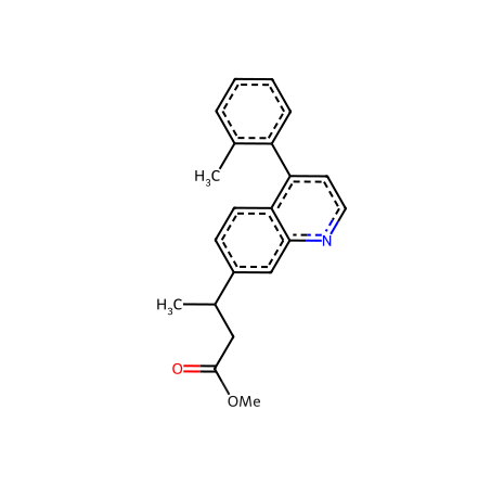 COC(=O)CC(C)c1ccc2c(-c3ccccc3C)ccnc2c1